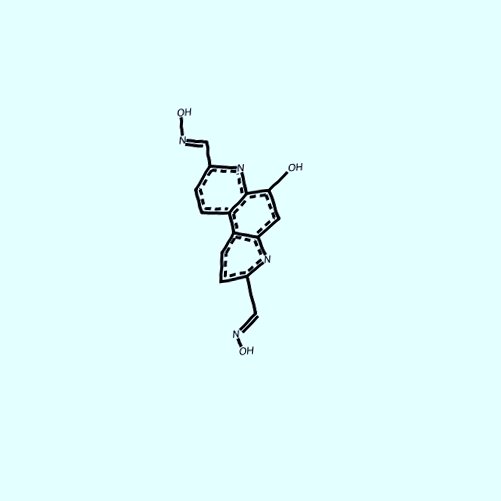 O/N=C/c1ccc2c(cc(O)c3nc(/C=N/O)ccc32)n1